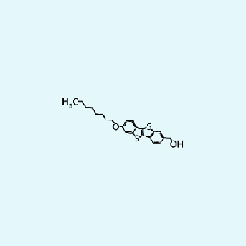 CCCCCCCCOc1ccc2c(c1)sc1c3ccc(CO)cc3sc21